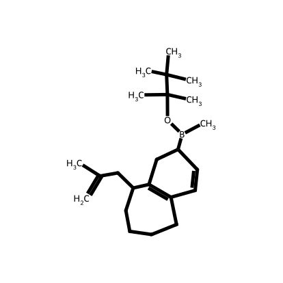 C=C(C)CC1CCCCC2=C1CC(B(C)OC(C)(C)C(C)(C)C)C=C2